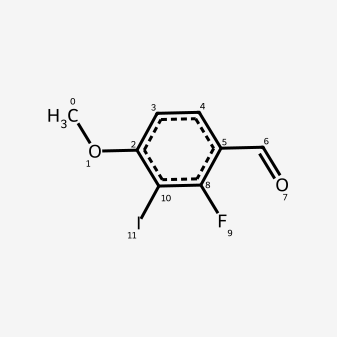 COc1ccc(C=O)c(F)c1I